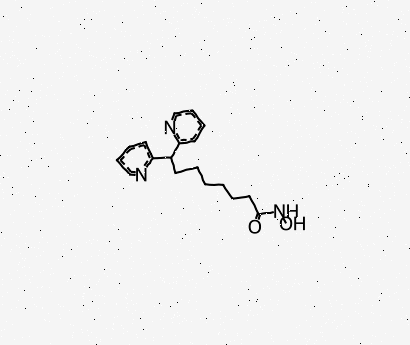 O=C(CCCCCCC(c1ccccn1)c1ccccn1)NO